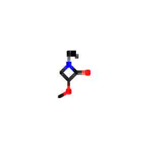 COC1CN([SiH3])C1=O